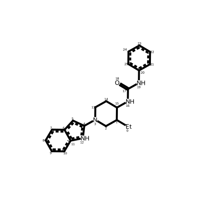 CCC1CN(c2cc3ccccc3[nH]2)CCC1NC(=O)Nc1ccccc1